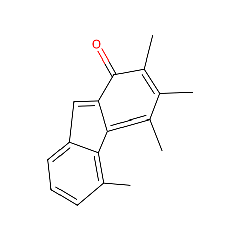 CC1=C(C)C(C)=C2C(=Cc3cccc(C)c32)C1=O